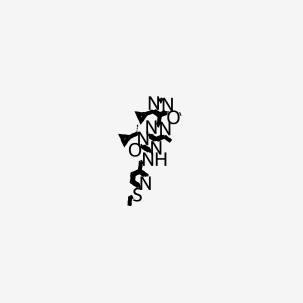 CCSc1ccc(CNc2nc3c(C)nc(-c4c(OC)ncnc4C4CC4)nc3n([C@@H](C)C3CC3)c2=O)cn1